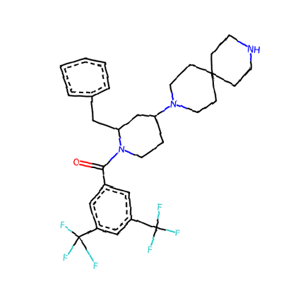 O=C(c1cc(C(F)(F)F)cc(C(F)(F)F)c1)N1CCC(N2CCC3(CCNCC3)CC2)CC1Cc1ccccc1